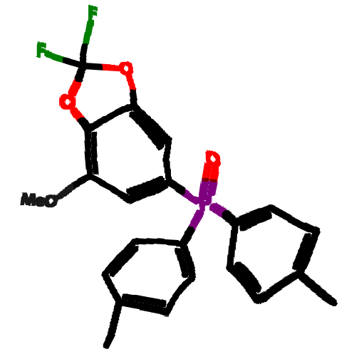 COc1cc(P(=O)(c2ccc(C)cc2)c2ccc(C)cc2)cc2c1OC(F)(F)O2